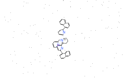 c1ccc(CN2[C@H](c3cccc(-c4cccc5ccccc45)n3)CCC[C@H]2c2cccc(-c3cccc4ccccc34)n2)nc1